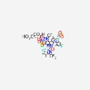 C[C@@H]1c2c(C(F)(F)F)nn(CC(=O)N[C@@H](Cc3cc(F)cc(F)c3)c3nc(CCC(C)(C)S(C)(=O)=O)ccc3-c3ccc(Cl)c4c(N(C(=O)OCCC(C(=O)O)C(=O)O)S(C)(=O)=O)nn(CC(F)(F)F)c34)c2C(F)(F)[C@@H]1C